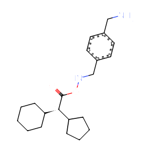 NCc1ccc(CNOC(=O)[C@H](C2CCCCC2)C2CCCC2)cc1